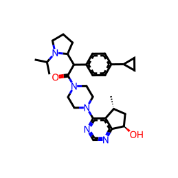 CC(C)N1CCCC1C(C(=O)N1CCN(c2ncnc3c2[C@H](C)C[C@H]3O)CC1)c1ccc(C2CC2)cc1